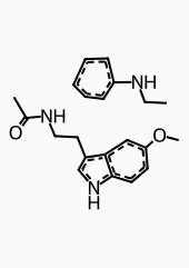 CCNc1ccccc1.COc1ccc2[nH]cc(CCNC(C)=O)c2c1